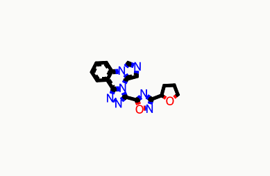 c1ccc2c(c1)c1nnc(-c3nc(C4CCCO4)no3)n1c1cncn21